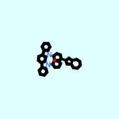 c1ccc2cc(-c3ccc(-n4c5ccccc5c5ccc6c7ccccc7n(-c7ccccc7)c6c54)cc3)cc-2cc1